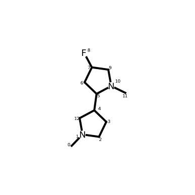 CN1CCC(C2CC(F)CN2C)C1